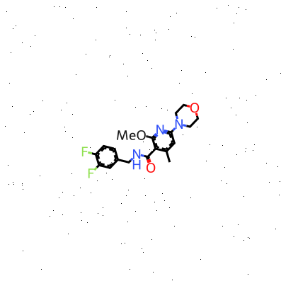 COc1nc(N2CCOCC2)cc(C)c1C(=O)NCc1ccc(F)c(F)c1